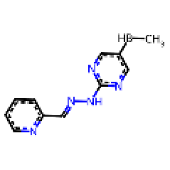 CBc1cnc(N/N=C/c2ccccn2)nc1